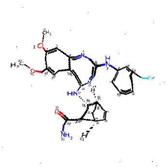 COc1cc2nc(Nc3cccc(F)c3)nc(N[C@H]3C(C(N)=O)[C@@H]4C=C[C@H]3C4)c2cc1OC